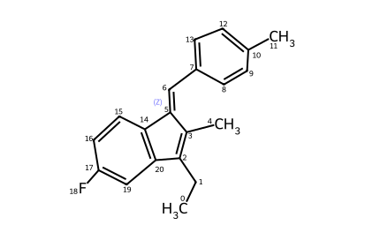 CCC1=C(C)/C(=C\c2ccc(C)cc2)c2ccc(F)cc21